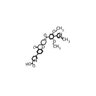 CCOc1cc(C(=O)N2CCC3(CC2)CC(=O)c2cc(-c4ccc(C(=O)O)nc4)ccc2O3)cc(OCC)c1-c1cnn(C)c1